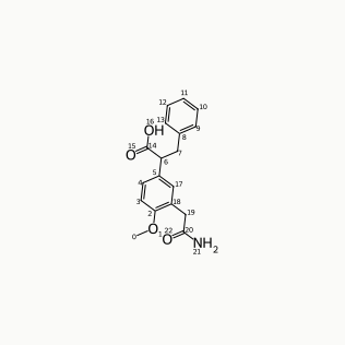 COc1ccc(C(Cc2ccccc2)C(=O)O)cc1CC(N)=O